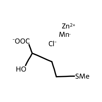 CSCCC(O)C(=O)[O-].[Cl-].[Mn].[Zn+2]